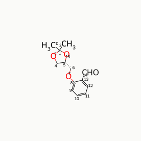 CC1(C)OC[C@@H](COc2ccccc2C=O)O1